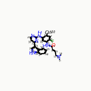 COc1cc(F)c(NC(=O)/C=C/CN(C)C)cc1Nc1nccc(-c2c[nH]c3ccccc23)n1